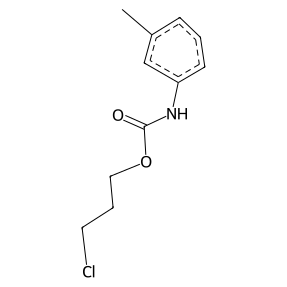 Cc1cccc(NC(=O)OCCCCl)c1